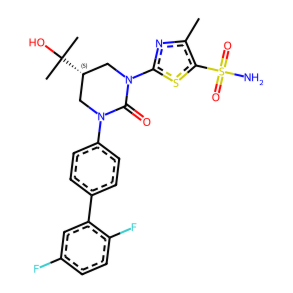 Cc1nc(N2C[C@@H](C(C)(C)O)CN(c3ccc(-c4cc(F)ccc4F)cc3)C2=O)sc1S(N)(=O)=O